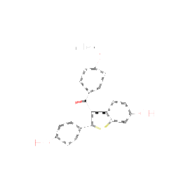 CCCCCCOc1ccc(C(=O)c2c(-c3ccc(O)cc3)sc3cc(O)ccc23)cc1